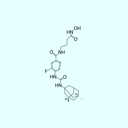 C[C@]12CC3CC(NC(=O)Nc4ccc(C(=O)NCCCC(=O)NO)cc4F)(C1)C[C@@](C)(C3)C2